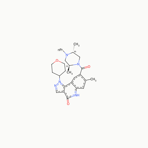 CCCN1C[C@H](C)N(C(=O)c2cc3c(cc2C)[nH]c(=O)c2cnn(C4CCOCC4)c23)C[C@H]1C